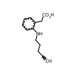 C#CCCCNc1ccccc1CC(=O)O